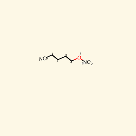 N#CCCCCO[N+](=O)[O-]